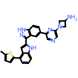 Cc1ccc(-c2cccc3[nH]c(-c4n[nH]c5ccc(-c6cncc(N7CC(N)C7)n6)cc45)cc23)s1